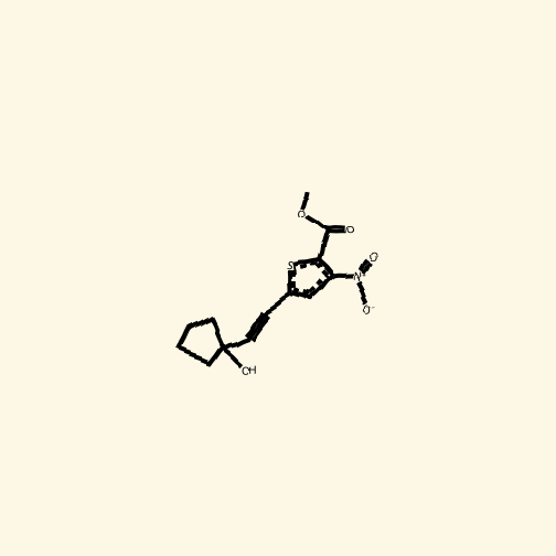 COC(=O)c1sc(C#CC2(O)CCCC2)cc1[N+](=O)[O-]